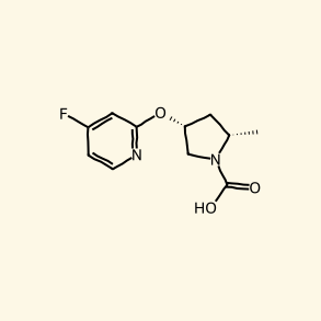 C[C@H]1C[C@@H](Oc2cc(F)ccn2)CN1C(=O)O